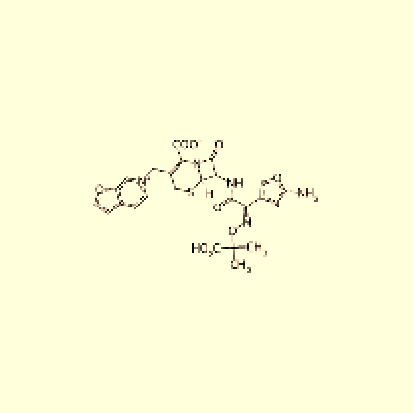 CC(C)(O/N=C(\C(=O)NC1C(=O)N2C(C(=O)[O-])=C(C[n+]3ccc4ccoc4c3)CS[C@H]12)c1coc(N)n1)C(=O)O